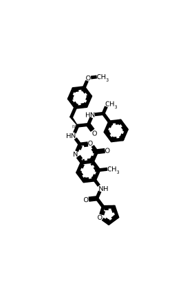 COc1ccc(C[C@H](Nc2nc3ccc(NC(=O)c4ccco4)c(C)c3c(=O)o2)C(=O)NC(C)c2ccccc2)cc1